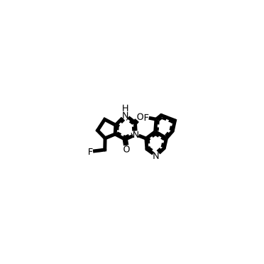 O=c1[nH]c2c(c(=O)n1-c1cncc3cccc(F)c13)C(CF)CC2